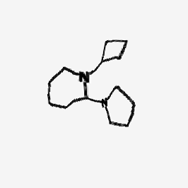 C1CC(N2CCCCC2N2CCCC2)C1